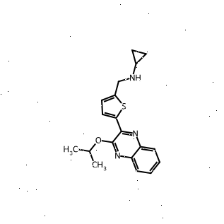 CC(C)Oc1nc2ccccc2nc1-c1ccc(CNC2CC2)s1